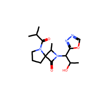 CC(C)C(=O)N1CCCC12C(=O)N(C(c1nnco1)C(C)O)C2C